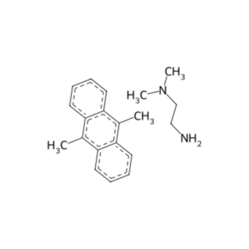 CN(C)CCN.Cc1c2ccccc2c(C)c2ccccc12